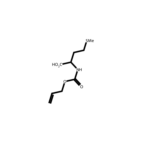 C=CCOC(=O)NC(CCSC)C(=O)O